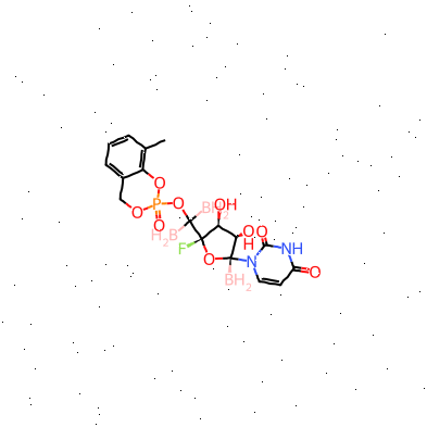 BC(B)(OP1(=O)OCc2cccc(C)c2O1)[C@@]1(F)O[C@@](B)(n2ccc(=O)[nH]c2=O)[C@H](O)[C@@H]1O